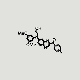 COc1cc(OC)cc(N(CCO)c2ccc3ncc(C(=O)N4CCN(C)CC4)nc3c2)c1